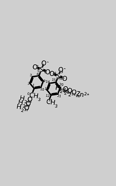 Cc1ccc(S(=O)(=O)[O-])cc1.Cc1ccc(S(=O)(=O)[O-])cc1.O.O.O.O.O.O.[Zn+2]